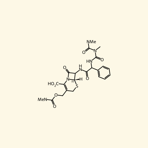 CNC(=O)OCC1=C(C(=O)O)N2C(=O)C(NC(=O)C(NC(=O)N(C)C(=O)NC)c3ccccc3)[C@@H]2SC1